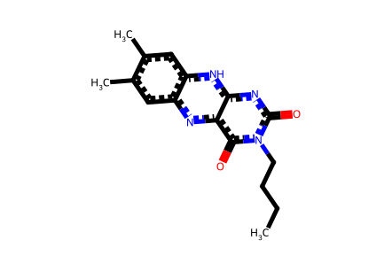 CCCCn1c(=O)nc2[nH]c3cc(C)c(C)cc3nc-2c1=O